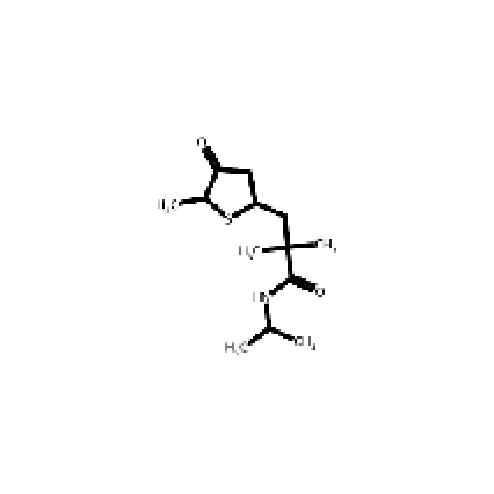 CC(C)NC(=O)C(C)(C)CC1CC(=O)C(C)S1